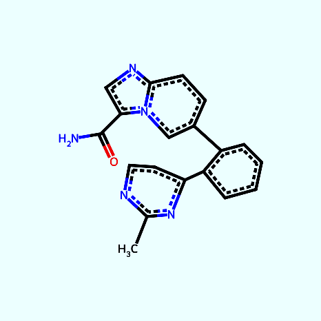 Cc1nccc(-c2ccccc2-c2ccc3ncc(C(N)=O)n3c2)n1